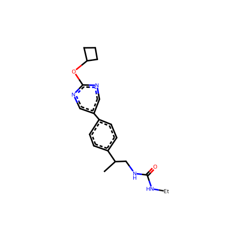 CCNC(=O)NCC(C)c1ccc(-c2cnc(OC3CCC3)nc2)cc1